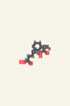 C1CCCCC1.CC(=O)O.CCCC(=O)O